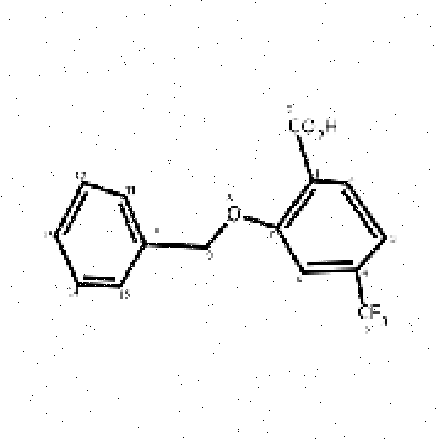 O=C(O)c1ccc(C(F)(F)F)cc1OCc1ccccc1